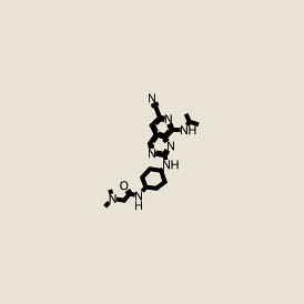 CC(C)Nc1nc(C#N)cc2cnc(NC3CCC(NC(=O)CN(C)C)CC3)nc12